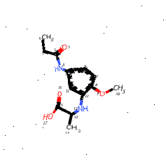 CCC(=O)Nc1ccc(OC)c(NC(C)C(=O)O)c1